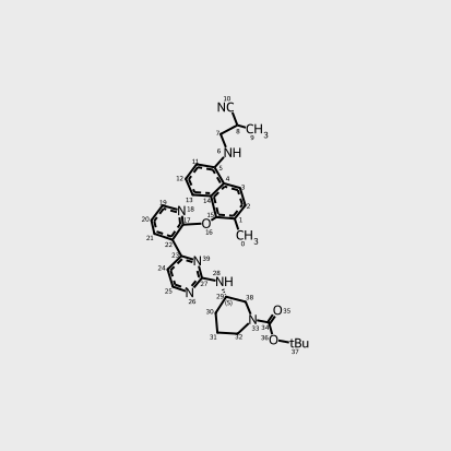 Cc1ccc2c(NCC(C)C#N)cccc2c1Oc1ncccc1-c1ccnc(N[C@H]2CCCN(C(=O)OC(C)(C)C)C2)n1